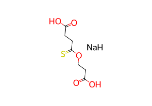 O=C(O)CCOC(=S)CCC(=O)O.[NaH]